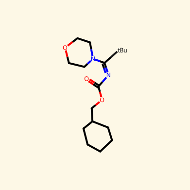 CC(C)(C)/C(=N/C(=O)OCC1CCCCC1)N1CCOCC1